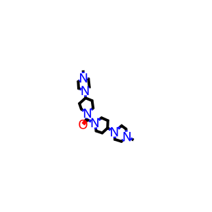 CN1CCN(C2CCN(C(=O)N3CCC(N4CCN(C)CC4)CC3)CC2)CC1